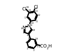 O=C(O)c1cccc(-c2cnn(-c3ccc(Cl)c(Cl)c3)c2)c1